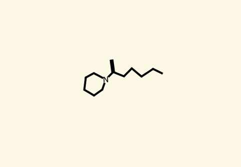 C=C(CCCCC)N1CCCCC1